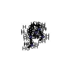 CC(CCC(OC(O)/C(OC(O)/C(O)=C(\O)C(O)CCO)=C(\O)C(O)CCOC(O)/C(O)=C(/O)C(O)CCO)C(C)(C)O)C1CCC2(C)C3CC=C4C(CCC(OC(O)/C(O)=C(\O)C(O)CCOC(O)/C(O)=C(/O)C(O)CCO)C4(C)C)C3(C)CCC12C